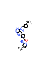 Nc1ncnc2c1c(-c1ccc(C(=O)Nc3cc(C(F)(F)F)ccn3)cc1)nn2Cc1cccc([N+](=O)[O-])c1